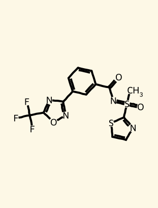 CS(=O)(=NC(=O)c1cccc(-c2noc(C(F)(F)F)n2)c1)c1nccs1